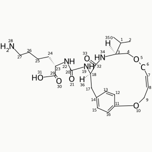 CC(C)[C@H]1COCC=CCOc2ccc(cc2)C[C@@H](NC(=O)N[C@@H](CCCCN)C(=O)O)C(=O)N1